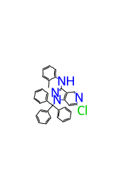 Cc1ccccc1Nc1nn(C(c2ccccc2)(c2ccccc2)c2ccccc2)c2cc(Cl)ncc12